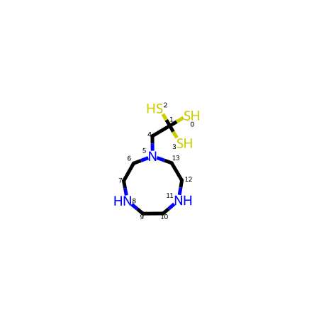 SC(S)(S)CN1CCNCCNCC1